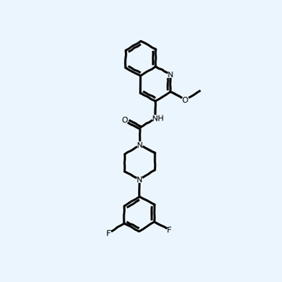 COc1nc2ccccc2cc1NC(=O)N1CCN(c2cc(F)cc(F)c2)CC1